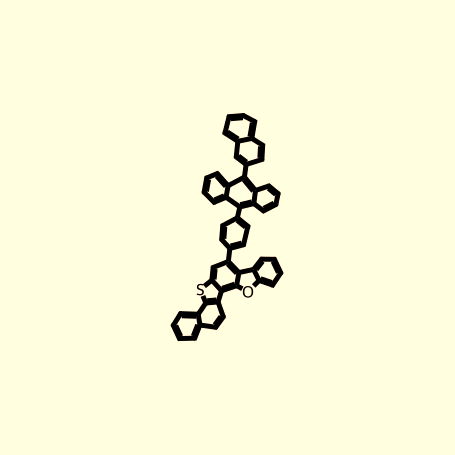 c1ccc2cc(-c3c4ccccc4c(-c4ccc(-c5cc6sc7c8ccccc8ccc7c6c6oc7ccccc7c56)cc4)c4ccccc34)ccc2c1